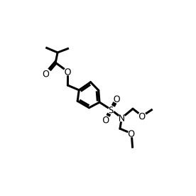 COCN(COC)S(=O)(=O)c1ccc(COC(=O)C(C)C)cc1